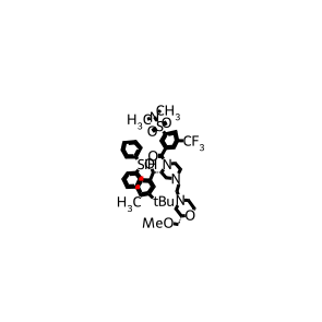 COC[C@@H]1CN(CCN2CCN(C(=O)c3cc(C(F)(F)F)cc(S(=O)(=O)N(C)C)c3)[C@@H](C(O[SiH](c3ccccc3)c3ccccc3)c3ccc(C)c(C(C)(C)C)c3)C2)CCO1